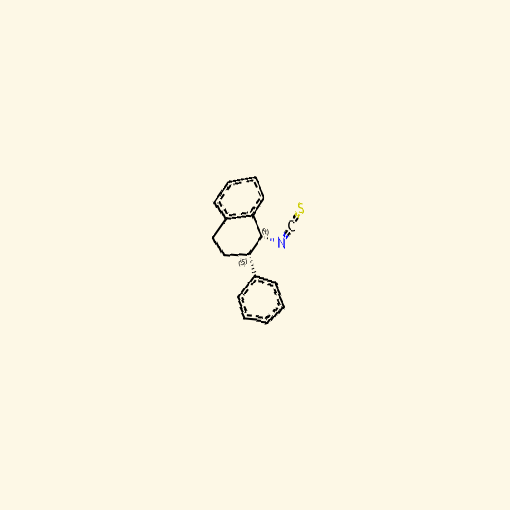 S=C=N[C@H]1c2ccccc2CC[C@H]1c1ccccc1